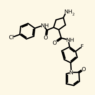 NC1CC(C(=O)Nc2ccc(Cl)cc2)C(C(=O)Nc2ccc(-n3ccccc3=O)cc2F)C1